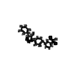 CS(=O)(=O)c1cccc(-c2ccc(-n3nnc(-c4ccccc4)c3I)cc2)c1